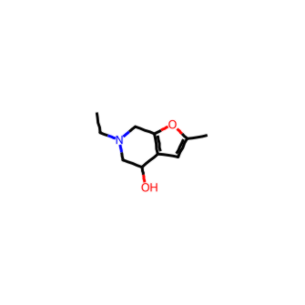 CCN1Cc2oc(C)cc2C(O)C1